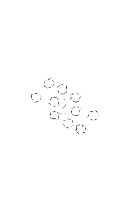 CC(C)(C)c1ccc2c(c1)C1(C3=C(c4ccc(N(c5ccccc5)c5ccccc5)cc41)C1(c4cc(N(c5ccccc5)c5ccccc5)ccc43)c3ccccc3-c3ccc(C(C)(C)C)cc31)c1ccccc1-2